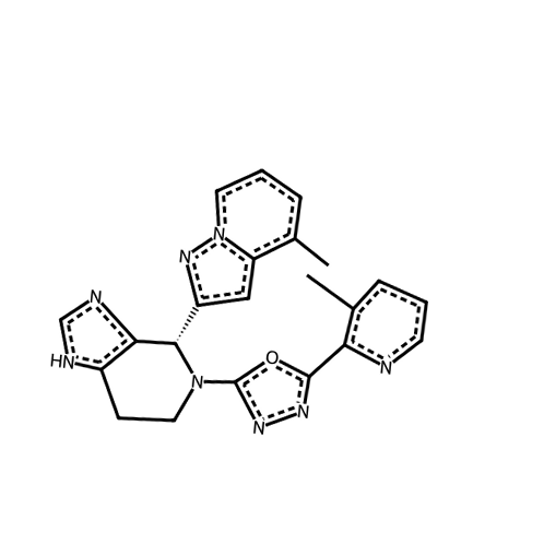 Cc1cccnc1-c1nnc(N2CCc3[nH]cnc3[C@@H]2c2cc3c(C)cccn3n2)o1